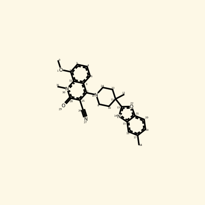 COc1cccc2c(N3CCC(C)(c4nc5cc(C)ccc5o4)CC3)c(C#N)c(=O)n(C)c12